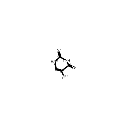 CC(C)c1c[nH]c(=S)[nH]c1=O